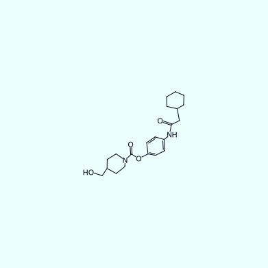 O=C(CC1CCCCC1)Nc1ccc(OC(=O)N2CCC(CO)CC2)cc1